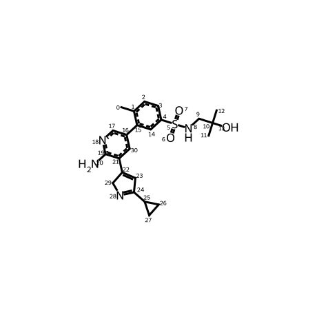 Cc1ccc(S(=O)(=O)NCC(C)(C)O)cc1-c1cnc(N)c(C2=CC(C3CC3)=NC2)c1